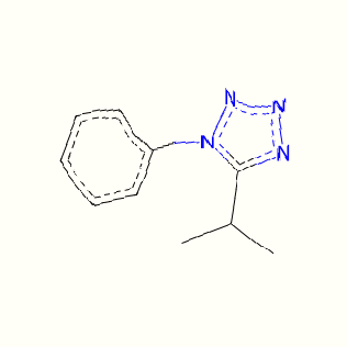 CC(C)c1nnnn1-c1ccccc1